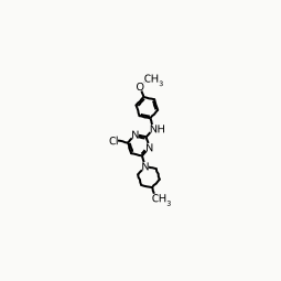 COc1ccc(Nc2nc(Cl)cc(N3CCC(C)CC3)n2)cc1